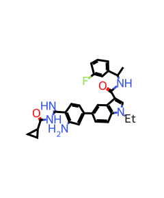 CCn1cc(C(=O)NC(C)c2cccc(F)c2)c2cc(-c3ccc(C(=N)NC(=O)C4CC4)c(N)c3)ccc21